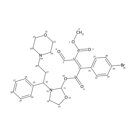 COC(=O)/C(C=O)=C(/C(=O)OC1OCCN1C(CCN1CCOCC1)c1ccccc1)c1ccc(Br)cc1